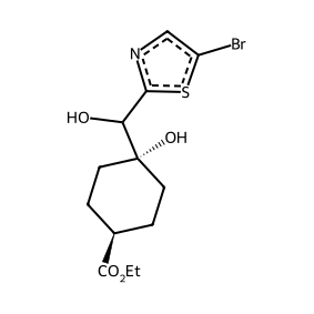 CCOC(=O)[C@H]1CC[C@@](O)(C(O)c2ncc(Br)s2)CC1